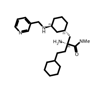 CNC(=O)[C@@](N)(CCC1CCCCC1)C[C@H]1CCC[C@H](NCc2cccnc2)C1